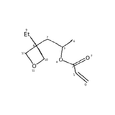 C=CC(=O)OC(C)CC1(CC)COC1